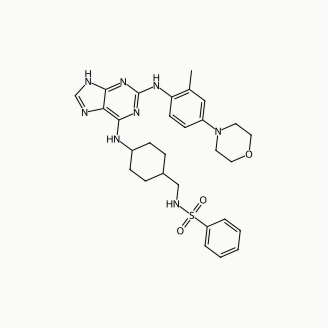 Cc1cc(N2CCOCC2)ccc1Nc1nc(NC2CCC(CNS(=O)(=O)c3ccccc3)CC2)c2nc[nH]c2n1